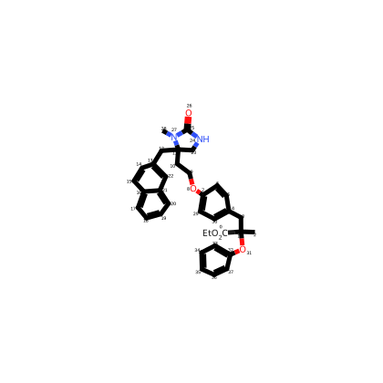 CCOC(=O)C(C)(Cc1ccc(OCCC2(Cc3ccc4ccccc4c3)CNC(=O)N2C)cc1)Oc1ccccc1